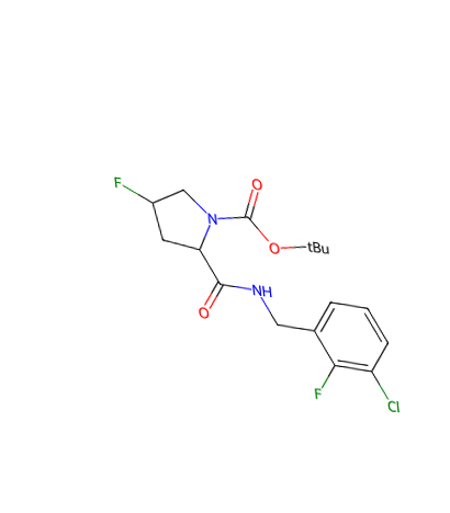 CC(C)(C)OC(=O)N1CC(F)CC1C(=O)NCc1cccc(Cl)c1F